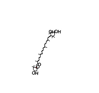 C\C(C=C=C1C(C)(C)CC(O)C[C@@]1(C)O)=C/C=C/C(C)=C/C=C/C=C(C)/C=C/C=C(\C)C(=O)CC12OC1(C)CC(O)CC2(C)C